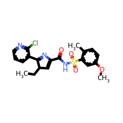 CCC1C=C(C(=O)NS(=O)(=O)c2cc(OC)ccc2C)N=C1c1cccnc1Cl